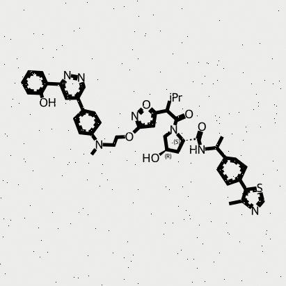 Cc1ncsc1-c1ccc(C(C)NC(=O)[C@@H]2C[C@@H](O)CN2C(=O)C(c2cc(OCCN(C)c3ccc(-c4cnnc(-c5ccccc5O)c4)cc3)no2)C(C)C)cc1